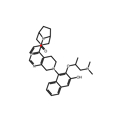 C=CC(=O)N1C2CCC1CN(c1ncnc3c1CCN(c1c(OC(C)CN(C)C)c(O)cc4ccccc14)C3)C2